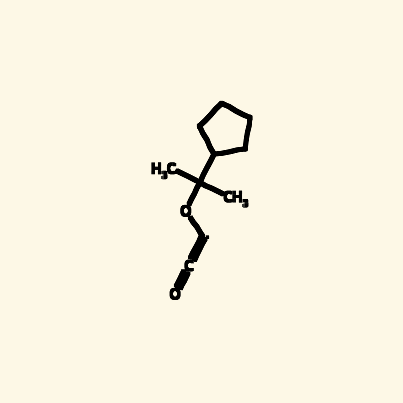 CC(C)(O[C]=C=O)C1CCCC1